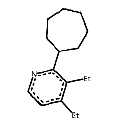 CCc1ccnc(C2CCCCCC2)c1CC